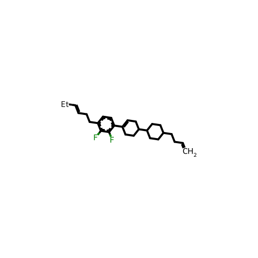 C=CCCC1CCC(C2CC=C(c3ccc(CC/C=C/CC)c(F)c3F)CC2)CC1